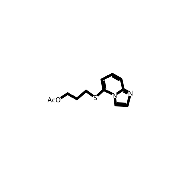 CC(=O)OCCCSc1cccc2nccn12